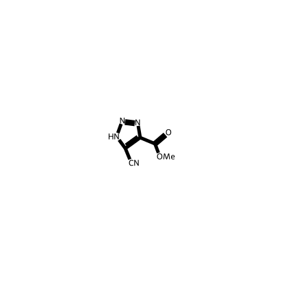 COC(=O)c1nn[nH]c1C#N